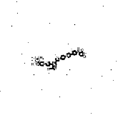 CCC1(C(=O)OC(C)(C)C)CCN(c2ccc(-c3nc(-c4cnn(C5CCC(N6CCC(c7ccc(NC8CCC(=O)NC8=O)cc7F)CC6)CC5)c4)cn4ncc(C#N)c34)cn2)CC1